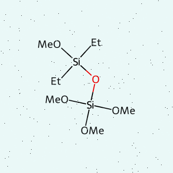 CC[Si](CC)(OC)O[Si](OC)(OC)OC